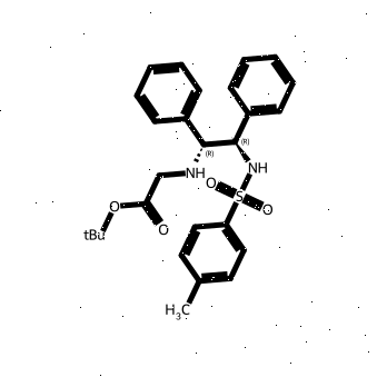 Cc1ccc(S(=O)(=O)N[C@H](c2ccccc2)[C@H](NCC(=O)OC(C)(C)C)c2ccccc2)cc1